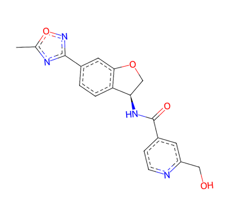 Cc1nc(-c2ccc3c(c2)OC[C@H]3NC(=O)c2ccnc(CO)c2)no1